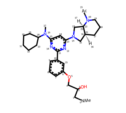 CNCC(O)COc1cccc(-c2nc(N3C[C@@H]4CCCN(C(C)=O)[C@@H]4C3)cc(N(C)C3CCCCC3)n2)c1